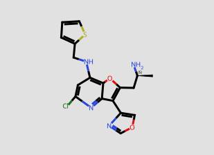 C[C@H](N)Cc1oc2c(NCc3cccs3)cc(Cl)nc2c1-c1cocn1